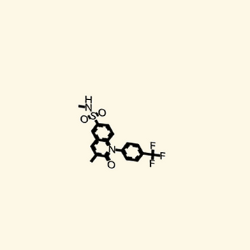 CNS(=O)(=O)c1ccc2c(c1)cc(C)c(=O)n2-c1ccc(C(F)(F)F)cc1